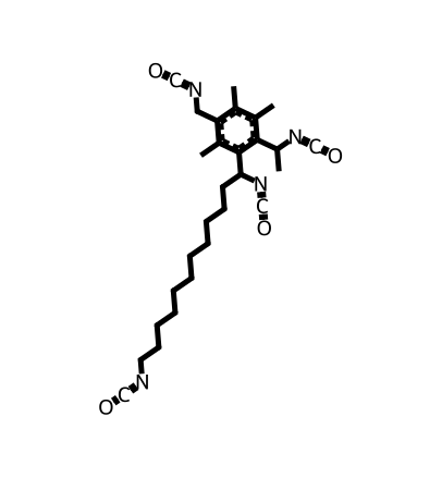 Cc1c(C)c(C(C)N=C=O)c(C(CCCCCCCCCCCN=C=O)N=C=O)c(C)c1CN=C=O